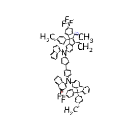 C=CC1=C(/C=C\C)C(c2ccc(C=C)cc2)(c2ccc(C(F)(F)F)cc2)c2cc(N(c3ccc(-c4ccc(N(c5ccc6c(c5)C(c5ccc(C=C)cc5)(c5ccc(C(F)(F)F)cc5)c5ccccc5-6)c5cccc6ccccc56)cc4)cc3)c3cccc4ccccc34)ccc21